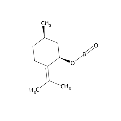 CC(C)=C1CC[C@@H](C)C[C@H]1OB=O